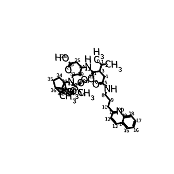 CC(C)C(CC(=O)NCCCc1ccc2ccccc2n1)C(=O)NC(CC(=O)O)C(=O)CN(C12CCC(CC1=O)C2(C)C)S(C)(=O)=O